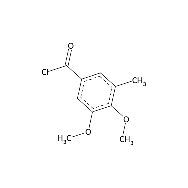 COc1cc(C(=O)Cl)cc(C)c1OC